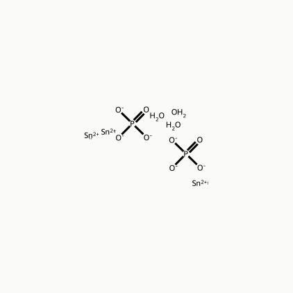 O.O.O.O=P([O-])([O-])[O-].O=P([O-])([O-])[O-].[Sn+2].[Sn+2].[Sn+2]